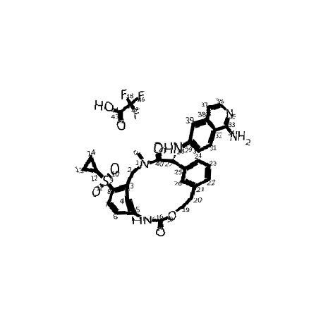 CN1Cc2cc(ccc2S(=O)(=O)C2CC2)NC(=O)OCCc2cccc(c2)[C@@H](Nc2ccc3c(N)nccc3c2)C1=O.O=C(O)C(F)(F)F